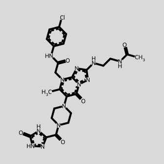 CC(=O)NCCNc1nc2n(CC(=O)Nc3ccc(Cl)cc3)c(C)c(N3CCN(C(=O)c4n[nH]c(=O)[nH]4)CC3)c(=O)n2n1